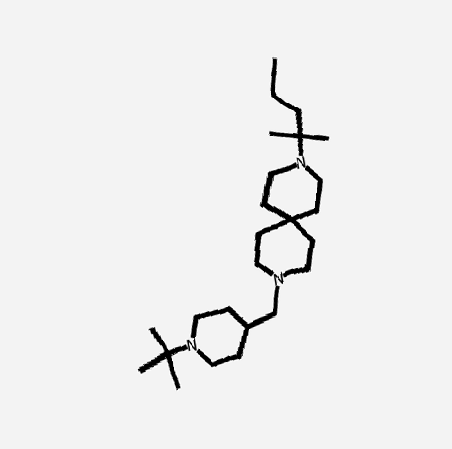 CCCC(C)(C)N1CCC2(CCN(CC3CCN(C(C)(C)C)CC3)CC2)CC1